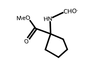 COC(=O)C1(N[C]=O)CCCC1